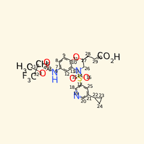 CC(C)(OC(=O)Nc1ccc2c(c1)N(S(=O)(=O)c1cncc(C3CC3)c1)C[C@H](CCC(=O)O)O2)C(F)(F)F